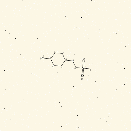 CC(C)C1CCC(CCS(C)(=O)=O)CC1